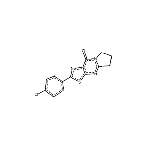 O=c1c2nc(-c3ccc(Cl)cc3)sc2nc2n1CCC2